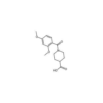 COc1ccc(C(=O)N2CCC(C(=O)O)CC2)c(OC)c1